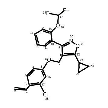 C=Cc1ccc(OCc2c(-c3ccccc3OC(F)F)noc2C2CC2)cc1Cl